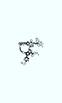 CC(=O)c1nn2c3c(cc(-c4cnc(C)nc4)cc13)CCCCCCC(=O)NC[C@]1(C)C[C@@H](C(=O)NCCC(C)(C)C)N(C1)C(=O)C2